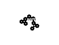 C1=NC(c2ccc3c(c2)c2ccccc2n3-c2ccccc2)NC(c2cccc(-c3ccc4c5ccccc5c5ccccc5c4c3)c2)=C1